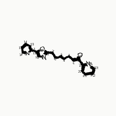 O=C(CCCCCCc1ncc(-c2ccccn2)o1)c1ccccn1